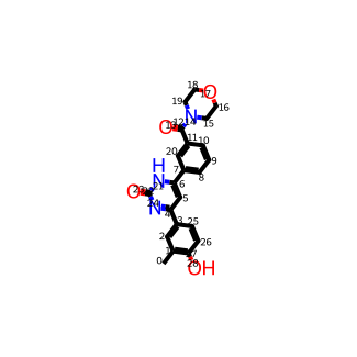 Cc1cc(-c2cc(-c3cccc(C(=O)N4CCOCC4)c3)[nH]c(=O)n2)ccc1O